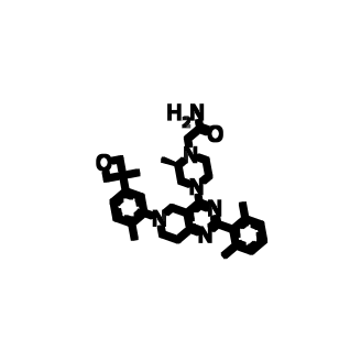 Cc1ccc(C2(C)COC2)cc1N1CCc2nc(-c3c(C)cccc3C)nc(N3CCN(CC(N)=O)[C@H](C)C3)c2C1